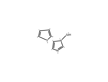 [SeH]n1ccnc1.c1ccsc1